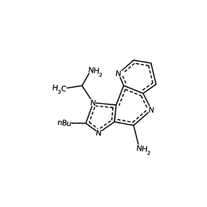 CCCCc1nc2c(N)nc3cccnc3c2n1C(C)N